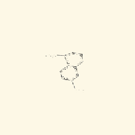 CCOC(=O)c1ccc2c(C(=O)OCC)cccc2c1